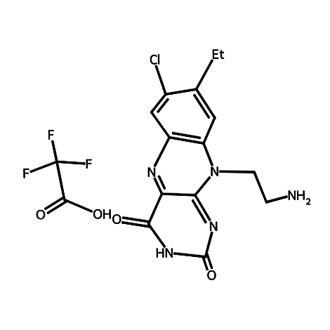 CCc1cc2c(cc1Cl)nc1c(=O)[nH]c(=O)nc-1n2CCN.O=C(O)C(F)(F)F